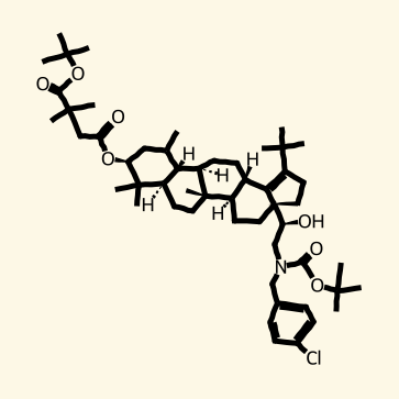 CC1C[C@H](OC(=O)CC(C)(C)C(=O)OC(C)(C)C)C(C)(C)[C@@H]2CC[C@]3(C)[C@H](CC[C@@H]4C5=C(C(C)(C)C)CC[C@@]5([C@@H](O)CN(Cc5ccc(Cl)cc5)C(=O)OC(C)(C)C)CC[C@H]43)[C@@H]12